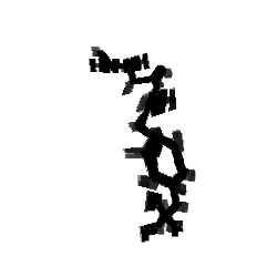 C=C(CNNC)NCc1ccc(CC(F)(F)F)cc1